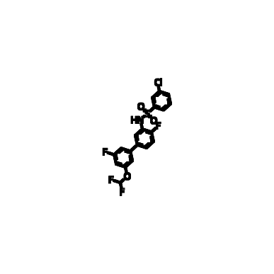 O=S(=O)(Nc1cc(-c2cc(F)cc(OC(F)F)c2)ccc1F)c1cccc(Cl)c1